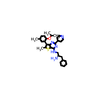 Cc1ccc(OC(C)C)c(-c2c(C)sc3c(NC[C@@H](N)Cc4ccccc4)nc(-c4ccncc4)nc23)c1